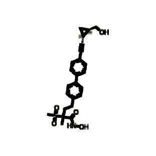 CC(CCc1ccc(-c2ccc(C#C[C@@H]3C[C@H]3CO)cc2)cc1)(C(=O)NO)S(C)(=O)=O